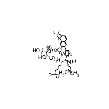 CCC(=O)CCCCC[C@H](NCCN(C)C)c1ncc(-c2cc3ccc(C)nc3cc2OC)[nH]1.O=C(O)[C@H](O)[C@@H](O)C(=O)O